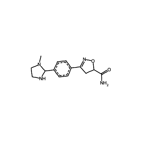 CN1CCNC1c1ccc(C2=NOC(C(N)=O)C2)cc1